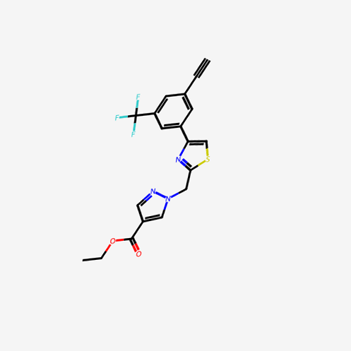 C#Cc1cc(-c2csc(Cn3cc(C(=O)OCC)cn3)n2)cc(C(F)(F)F)c1